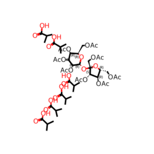 CC(=O)OC[C@H]1O[C@@](COC(C)=O)(O[C@H]2O[C@H](COC(C)=O)[C@@H](OC(C)=O)[C@H](OC(C)=O)[C@H]2OC(C)=O)[C@@H](OC(C)=O)[C@@H]1OC(C)=O.CC(C)C(=O)O.CC(C)C(=O)O.CC(C)C(=O)O.CC(C)C(=O)O.CC(C)C(=O)O.CC(C)C(=O)O